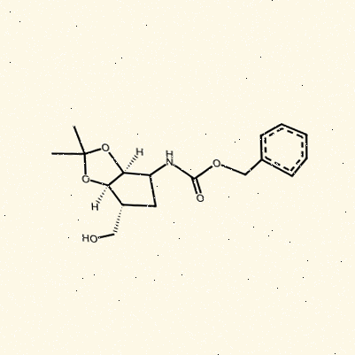 CC1(C)O[C@@H]2[C@@H](CO)CC(NC(=O)OCc3ccccc3)[C@@H]2O1